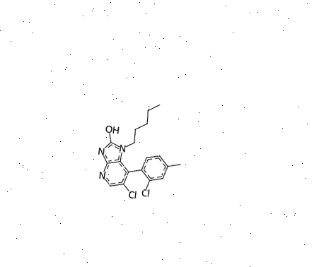 CCCCCn1c(O)nc2ncc(Cl)c(-c3ccc(C)cc3Cl)c21